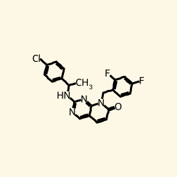 CC(Nc1ncc2ccc(=O)n(Cc3ccc(F)cc3F)c2n1)c1ccc(Cl)cc1